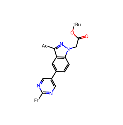 CCc1ncc(-c2ccc3c(c2)c(C(C)=O)nn3CC(=O)OC(C)(C)C)cn1